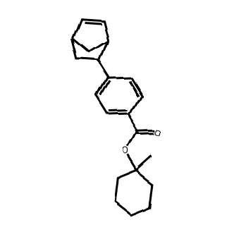 CC1(OC(=O)c2ccc(C3CC4C=CC3C4)cc2)CCCCC1